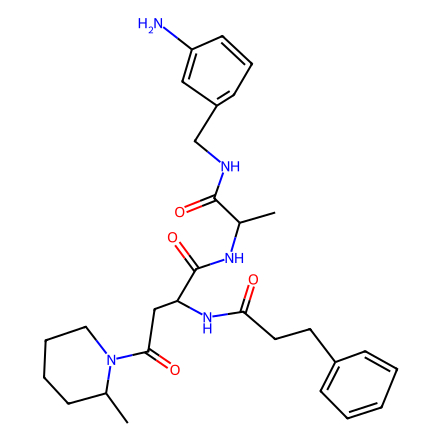 CC(NC(=O)C(CC(=O)N1CCCCC1C)NC(=O)CCc1ccccc1)C(=O)NCc1cccc(N)c1